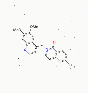 COc1cc2nccc(Cn3ccc4cc(C)ccc4c3=O)c2cc1OC